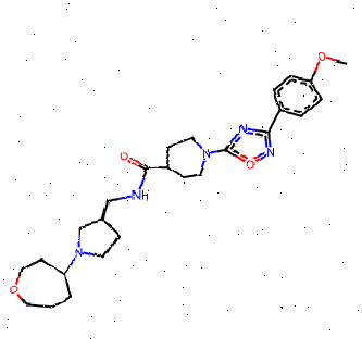 COc1ccc(-c2noc(N3CCC(C(=O)NCC4CCN(C5CCCOCC5)C4)CC3)n2)cc1